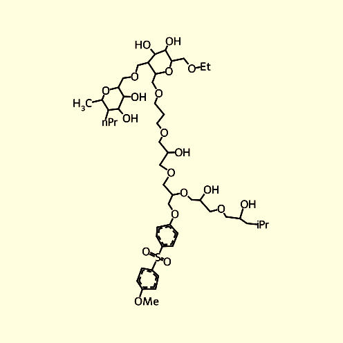 CCCC1C(C)OC(COCC2C(COCCCOCC(O)COCC(COc3ccc(S(=O)(=O)c4ccc(OC)cc4)cc3)OCC(O)COCC(O)CC(C)C)OC(COCC)C(O)C2O)C(O)C1O